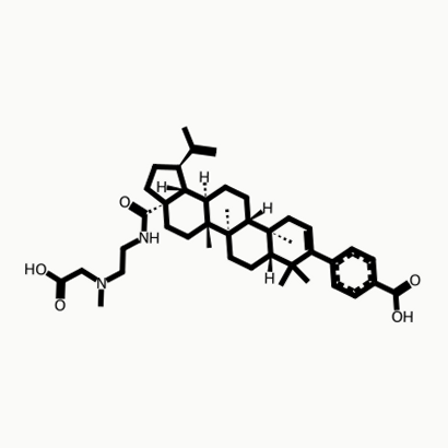 C=C(C)[C@@H]1CC[C@]2(C(=O)NCCN(C)CC(=O)O)CC[C@]3(C)[C@H](CC[C@@H]4[C@@]5(C)CC=C(c6ccc(C(=O)O)cc6)C(C)(C)[C@@H]5CC[C@]43C)[C@@H]12